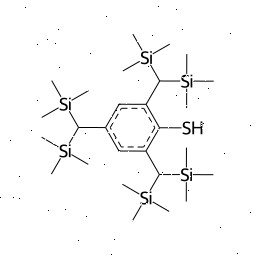 C[Si](C)(C)C(c1cc(C([Si](C)(C)C)[Si](C)(C)C)c(S)c(C([Si](C)(C)C)[Si](C)(C)C)c1)[Si](C)(C)C